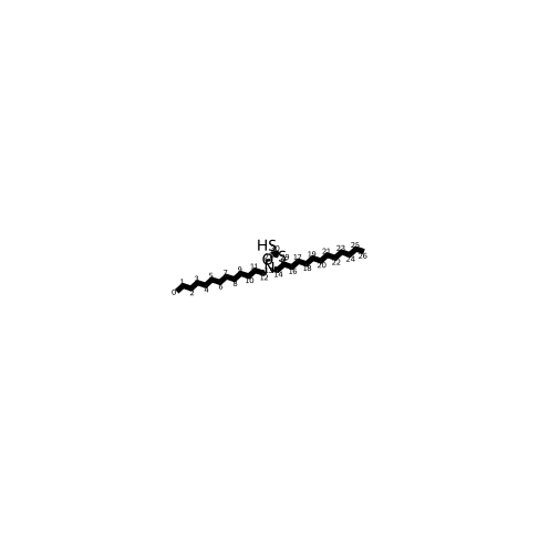 CCCCCCCCCCCCCN(CCCCCCCCCCCCC)OC(=S)S